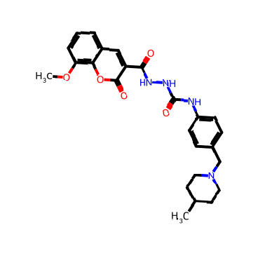 COc1cccc2cc(C(=O)NNC(=O)Nc3ccc(CN4CCC(C)CC4)cc3)c(=O)oc12